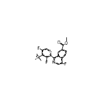 COC(=O)c1ccc2c(F)cnc(-c3ncc(F)c([Si](C)(C)C)c3F)c2c1